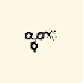 [C-]#[N+]/C(=C/c1ccc(N(c2ccccc2)c2ccc(C)cc2)cc1)C(=O)O